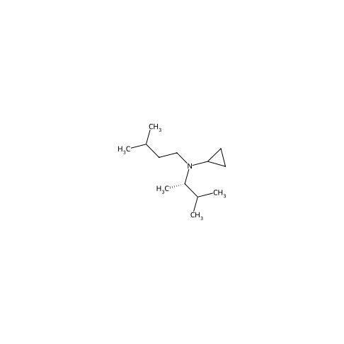 CC(C)CCN(C1CC1)[C@@H](C)C(C)C